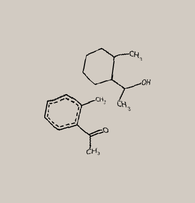 CC(=O)c1ccccc1C.CC(O)C1CCCCC1C